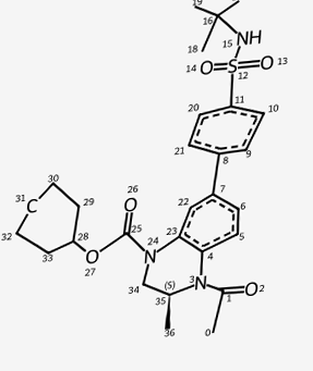 CC(=O)N1c2ccc(-c3ccc(S(=O)(=O)NC(C)(C)C)cc3)cc2N(C(=O)OC2CCCCC2)C[C@@H]1C